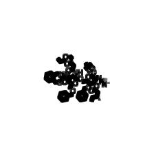 CCC(=O)O[C@H](CC)CC(=O)NC1[C@H](OCC2OC(O[Si](C)(C)C(C)(C)C)C(N=[N+]=[N-])[C@@H](OC(=O)C[C@H](C)CC)[C@H]2OCc2ccccc2)OC(COCc2ccccc2)[C@@H](OP2(=O)OCc3ccccc3CO2)[C@@H]1O